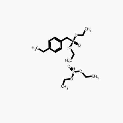 CCOP(=O)(Cc1ccc(CC)cc1)OCC.CCO[PH](=O)OCC